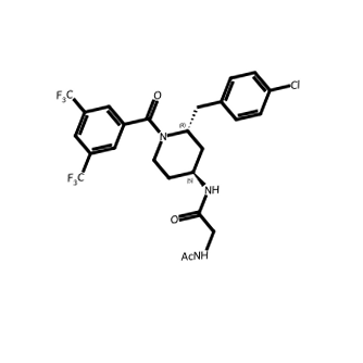 CC(=O)NCC(=O)N[C@H]1CCN(C(=O)c2cc(C(F)(F)F)cc(C(F)(F)F)c2)[C@H](Cc2ccc(Cl)cc2)C1